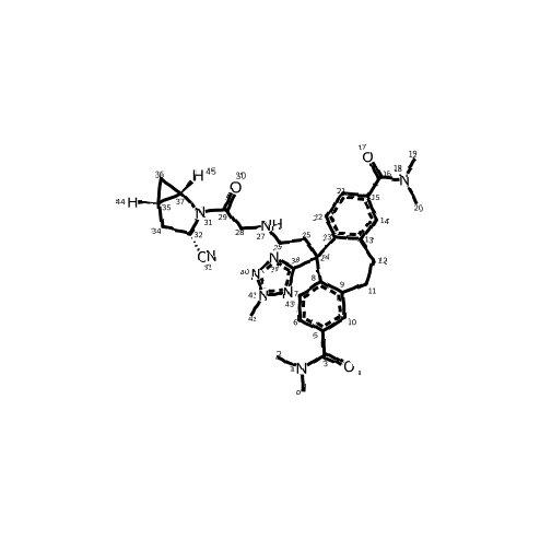 CN(C)C(=O)c1ccc2c(c1)CCc1cc(C(=O)N(C)C)ccc1C2(CCNCC(=O)N1[C@H](C#N)C[C@@H]2C[C@@H]21)c1nnn(C)n1